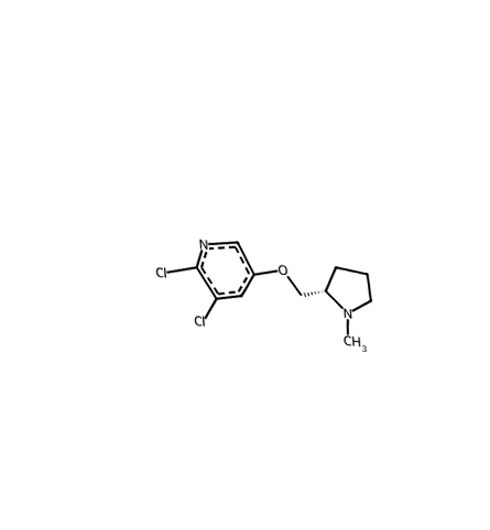 CN1CCC[C@H]1COc1cnc(Cl)c(Cl)c1